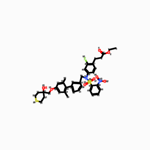 CCOC(=O)CCc1ccc(N(Cc2cccc(-c3c(C)cc(OCC4(O)CCSCC4)cc3C)c2)S(=O)(=O)c2ccccc2[N+](=O)[O-])cc1F